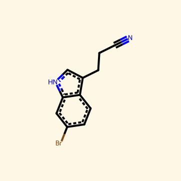 N#CCCc1c[nH]c2cc(Br)ccc12